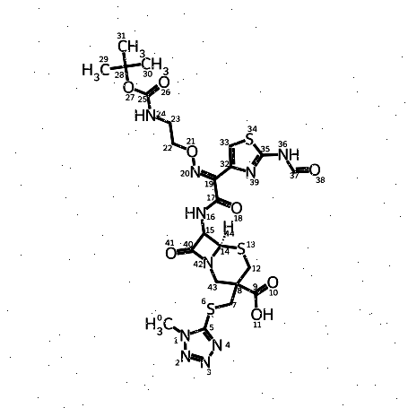 Cn1nnnc1SCC1(C(=O)O)CS[C@@H]2C(NC(=O)C(=NOCCNC(=O)OC(C)(C)C)c3csc(NC=O)n3)C(=O)N2C1